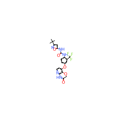 CC(C)(C)c1cc(NC(=O)Nc2ccc(Oc3ccnc4c3OCC(=O)N4)cc2C(F)(F)F)on1